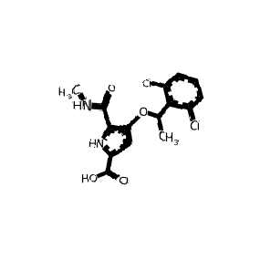 CNC(=O)c1[nH]c(C(=O)O)cc1OC(C)c1c(Cl)cccc1Cl